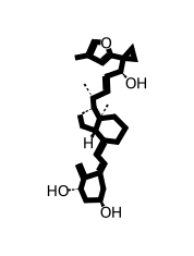 C=C1/C(=C\C=C2/CCC[C@]3(C)[C@@H]([C@H](C)/C=C/[C@@H](O)C4(c5cc(C)co5)CC4)CC[C@@H]23)C[C@@H](O)C[C@@H]1O